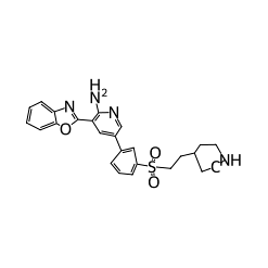 Nc1ncc(-c2cccc(S(=O)(=O)CCC3CCNCC3)c2)cc1-c1nc2ccccc2o1